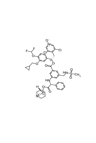 CS(=O)(=O)NCc1cc(NC(C(=O)O[C@H]2CN3CCC2CC3)c2ccccc2)cc(C(=O)O[C@@H](Cc2c(Cl)c[n+]([O-])cc2Cl)c2ccc(OC(F)F)c(OCC3CC3)c2)c1